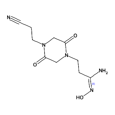 N#CCCN1CC(=O)N(CC/C(N)=N\O)CC1=O